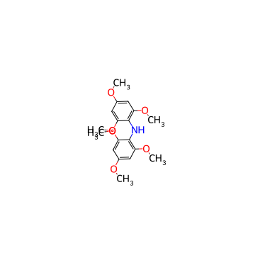 COc1cc(OC)c(Nc2c(OC)cc(OC)cc2OC)c(OC)c1